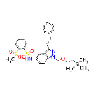 C[Si](C)(C)CCOCn1nc(CCc2ccccc2)c2cc(NS(=O)(=O)c3ccccc3S(C)(=O)=O)ccc21